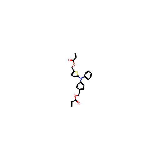 C=CC(=O)OCc1ccc(N(c2ccccc2)c2ccc(COC(=O)C=C)s2)cc1